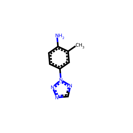 Cc1cc(-n2ncnn2)ccc1N